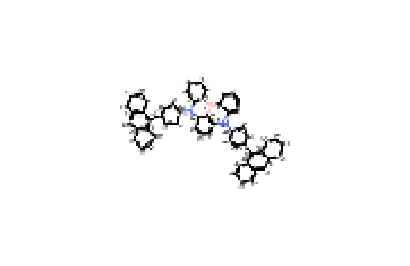 c1ccc2c(c1)B1c3ccccc3N(c3ccc(-c4c5ccccc5cc5ccccc45)cc3)c3cccc(c31)N2c1ccc(-c2c3ccccc3cc3ccccc23)cc1